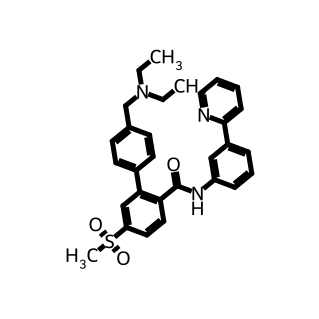 CCN(CC)Cc1ccc(-c2cc(S(C)(=O)=O)ccc2C(=O)Nc2cccc(-c3ccccn3)c2)cc1